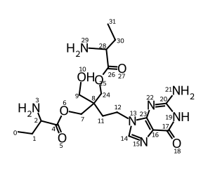 CCC(N)C(=O)OCC(CO)(CCn1cnc2c(=O)[nH]c(N)nc21)COC(=O)C(N)CC